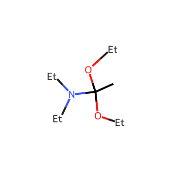 CCOC(C)(OCC)N(CC)CC